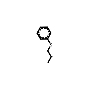 C[CH]CSc1ccccc1